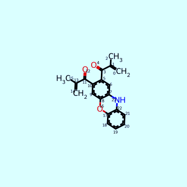 C=C(C)C(=O)c1cc2c(cc1C(=O)C(=C)C)Oc1ccccc1N2